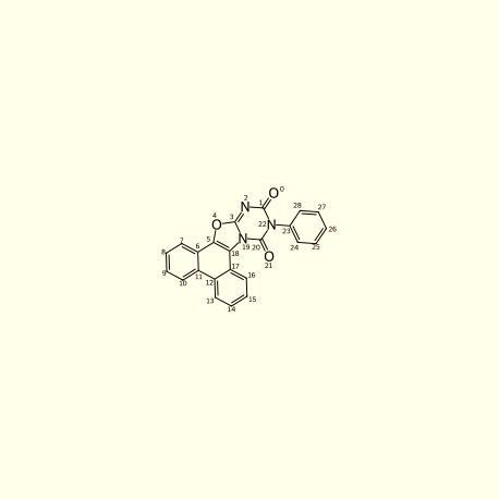 O=c1nc2oc3c4ccccc4c4ccccc4c3n2c(=O)n1-c1ccccc1